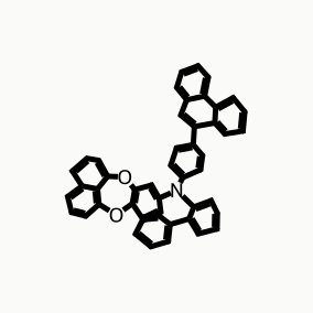 c1ccc(-c2ccccc2N(c2ccc(-c3cc4ccccc4c4ccccc34)cc2)c2ccc3c(c2)Oc2cccc4cccc(c24)O3)cc1